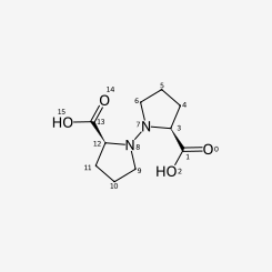 O=C(O)[C@@H]1CCCN1N1CCC[C@H]1C(=O)O